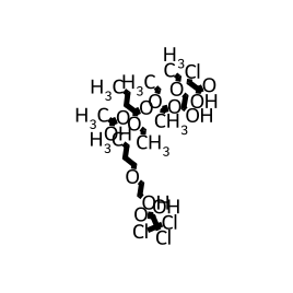 CC(=O)O.CCCC(=O)OCC.CCCCOCCO.CCOC(C)=O.CCOCCO.O=C(O)C(Cl)(Cl)Cl.O=C(O)CCl